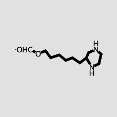 O=[C]OCCCCCCC1CNCCN1